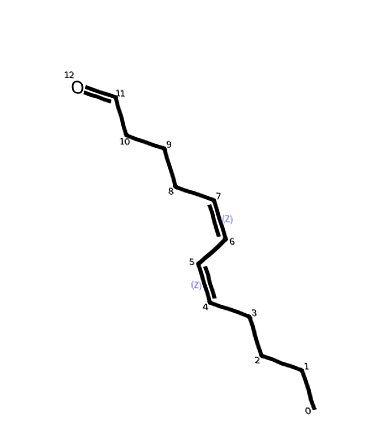 CCCC/C=C\C=C/CCCC=O